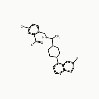 CC(NCc1ccc(Cl)cc1[N+](=O)[O-])C1CCC(c2ccnc3ccc(F)cc23)CC1